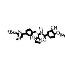 CC(C)Oc1ccc(C(=O)N[C@@H](Cc2ccc(-c3cn(C)c(C(C)(C)C)n3)cc2)c2ncc[nH]2)cc1C#N